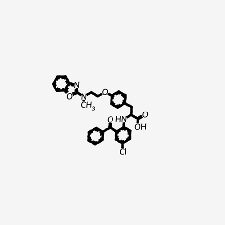 CN(CCOc1ccc(CC(Nc2ccc(Cl)cc2C(=O)c2ccccc2)C(=O)O)cc1)c1nc2ccccc2o1